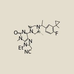 CCn1c(CC#N)nc2c(N3C[C@@H](C)N(C(C)c4ccc(F)c(C5(C)CC5)c4)C[C@@H]3C)nc(=O)n(C)c21